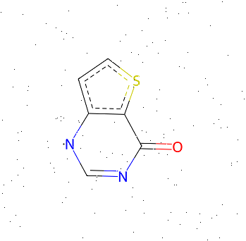 O=C1N=C[N]c2ccsc21